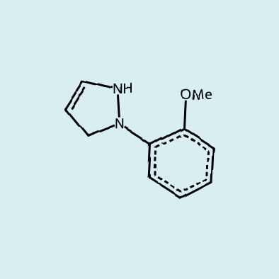 COc1ccccc1N1CC=CN1